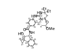 CCC1(CC)CC(=O)N([C@H](CCOC)c2cccc(C(=O)NC3c4ccccc4C4(CC4)C3O)c2)C(=N)N1